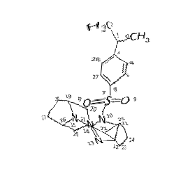 CC(C)c1ccc(S(=O)(=O)N2CCN=C2N2C3CCC2CN(C2CCC2)C3)cc1